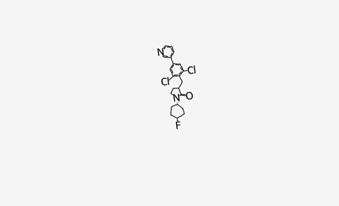 O=C1C(Cc2c(Cl)cc(-c3cccnc3)cc2Cl)CCN1[C@H]1CC[C@H](F)CC1